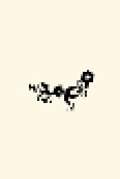 N#CCC1(n2cc(-c3ncnc4[nH]ccc34)cn2)CCN(S(=O)(=O)Cc2ccccc2)CC1